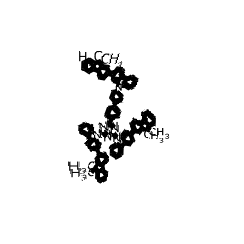 CC1(C)c2ccccc2-c2ccc(-c3ccc4c5ccccc5n(-c5ccc(-c6ccc(-c7nc(-n8c9ccccc9c9ccc(-c%10ccc%11c(c%10)C(C)(C)c%10ccccc%10-%11)cc98)nc(-n8c9ccccc9c9ccc(-c%10ccc%11c(c%10)C(C)(C)c%10ccccc%10-%11)cc98)n7)cc6)cc5)c4c3)cc21